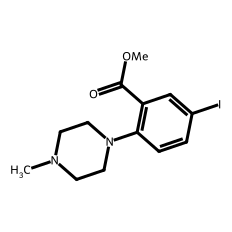 COC(=O)c1cc(I)ccc1N1CCN(C)CC1